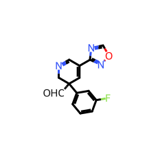 O=CC1(c2cccc(F)c2)C=C(c2ncon2)C=NC1